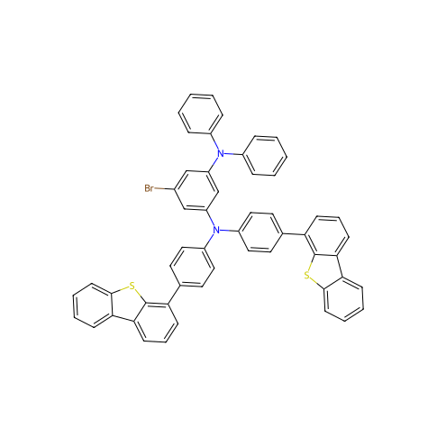 Brc1cc(N(c2ccccc2)c2ccccc2)cc(N(c2ccc(-c3cccc4c3sc3ccccc34)cc2)c2ccc(-c3cccc4c3sc3ccccc34)cc2)c1